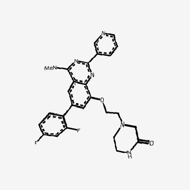 CNc1nc(-c2cccnc2)nc2c(OCCN3CCNC(=O)C3)cc(-c3ccc(F)cc3F)cc12